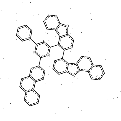 c1ccc(-c2nc(-c3ccc4c(ccc5ccccc54)c3)nc(-c3c(-c4cccc5sc6c7ccccc7ccc6c45)ccc4oc5ccccc5c34)n2)cc1